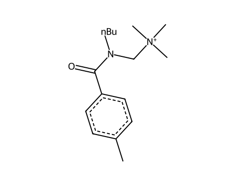 CCCCN(C[N+](C)(C)C)C(=O)c1ccc(C)cc1